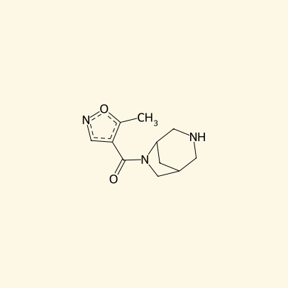 Cc1oncc1C(=O)N1CC2CNCC1C2